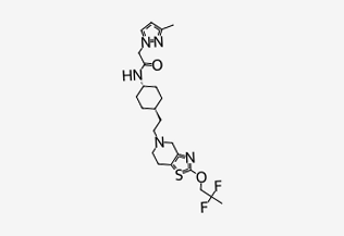 Cc1ccn(CC(=O)N[C@H]2CC[C@H](CCN3CCc4sc(OCC(C)(F)F)nc4C3)CC2)n1